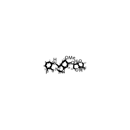 COc1cc2c(Nc3cccc(F)c3F)ncnc2cc1OC1CO[C@H]2[C@H](F)CO[C@@H]12